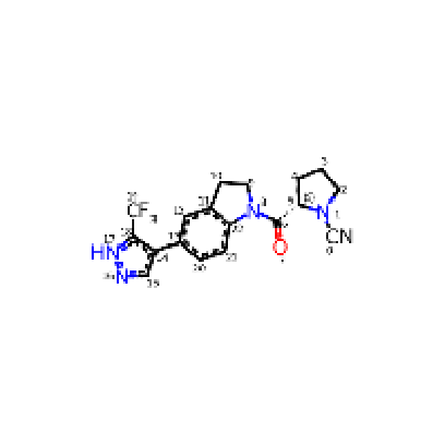 N#CN1CCC[C@H]1C(=O)N1CCc2cc(-c3cn[nH]c3C(F)(F)F)ccc21